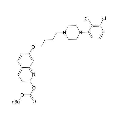 CCCCOC(=O)Oc1ccc2ccc(OCCCCN3CCN(c4cccc(Cl)c4Cl)CC3)cc2n1